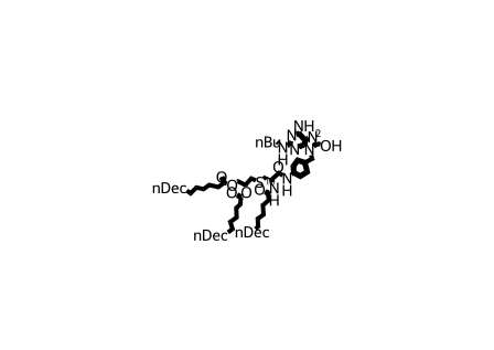 CCCCCCCCCCCCCCCC(=O)N[C@@H](CSCC(COC(=O)CCCCCCCCCCCCCCC)OC(=O)CCCCCCCCCCCCCCC)C(=O)Nc1ccc(Cn2c(O)nc3c(N)nc(NCCCC)nc32)cc1